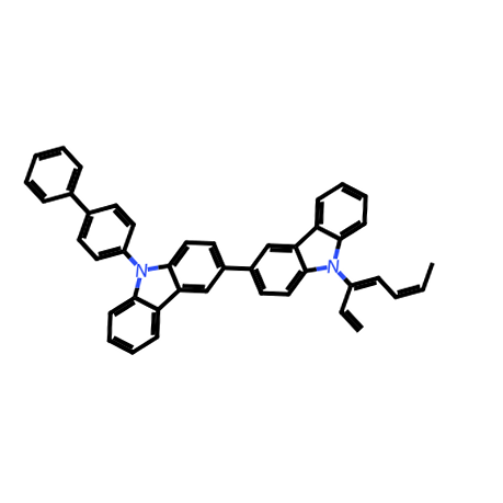 C=C/C(=C\C=C/C)n1c2ccccc2c2cc(-c3ccc4c(c3)c3ccccc3n4-c3ccc(-c4ccccc4)cc3)ccc21